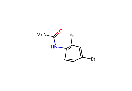 CCc1ccc(NC(=O)NC)c(CC)c1